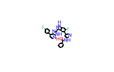 OC(Nc1cncc(-c2cc3c(-c4nc5c(-c6ccc(F)cc6)ccnc5[nH]4)n[nH]c3cc2F)c1)c1ccccc1